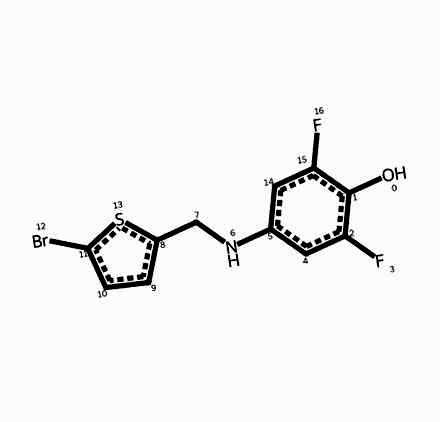 Oc1c(F)cc(NCc2ccc(Br)s2)cc1F